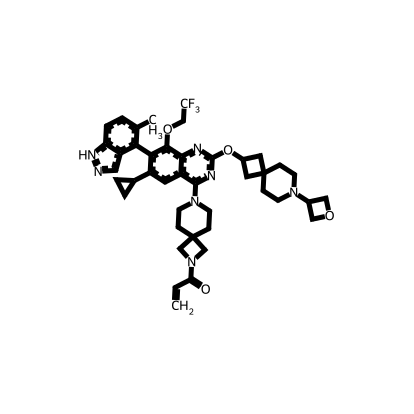 C=CC(=O)N1CC2(CCN(c3nc(OC4CC5(CCN(C6COC6)CC5)C4)nc4c(OCC(F)(F)F)c(-c5c(C)ccc6[nH]ncc56)c(C5CC5)cc34)CC2)C1